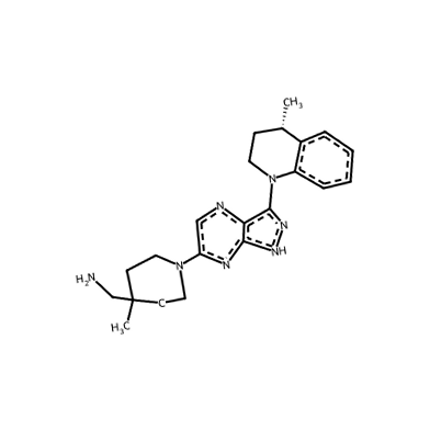 C[C@H]1CCN(c2n[nH]c3nc(N4CCC(C)(CN)CC4)cnc23)c2ccccc21